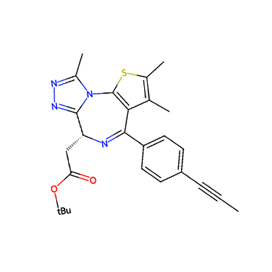 CC#Cc1ccc(C2=N[C@H](CC(=O)OC(C)(C)C)c3nnc(C)n3-c3sc(C)c(C)c32)cc1